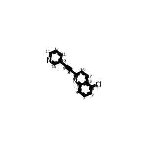 Clc1cccc2nc(C#Cc3cccnc3)ccc12